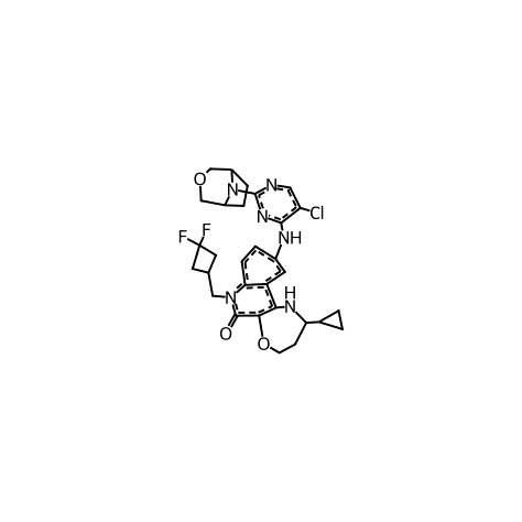 O=c1c2c(c3cc(Nc4nc(N5C6CCC5COC6)ncc4Cl)ccc3n1CC1CC(F)(F)C1)NC(C1CC1)CCO2